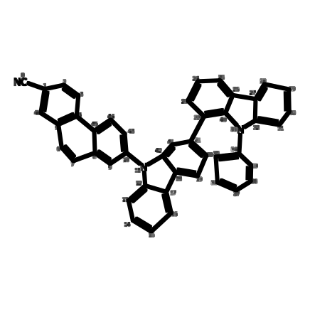 N#Cc1ccc2c(ccc3cc(-n4c5ccccc5c5ccc(-c6cccc7c8ccccc8n(-c8ccccc8)c67)cc54)ccc32)c1